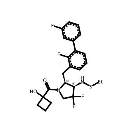 CCSN[C@@H]1[C@H](Cc2cccc(-c3cccc(F)c3)c2F)N(C(=O)C2(O)CCC2)CC1(F)F